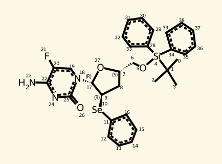 CC(C)(C)[Si](OC[C@@H]1C[C@@H]([Se]c2ccccc2)[C@H](n2cc(F)c(N)nc2=O)O1)(c1ccccc1)c1ccccc1